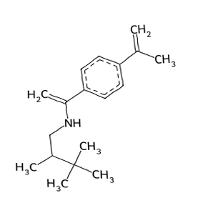 C=C(C)c1ccc(C(=C)NCC(C)C(C)(C)C)cc1